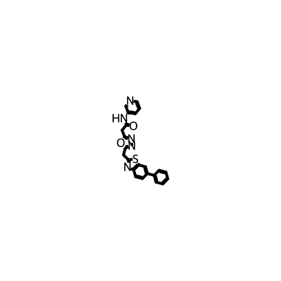 O=C(Cc1nnc(Cc2nc3ccc(-c4ccccc4)cc3s2)o1)Nc1cccnc1